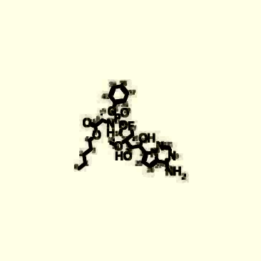 CCCCCOC(=O)[C@H](C)NP(=O)(OC[C@@](CF)(OC)[C@@H](O)[C@@H](O)c1ccc2c(N)ncnn12)Oc1ccccc1